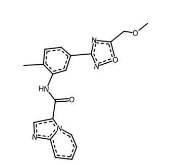 COCc1nc(-c2ccc(C)c(NC(=O)c3cnc4ccccn34)c2)no1